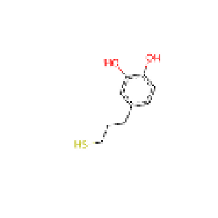 Oc1ccc(CCCS)cc1O